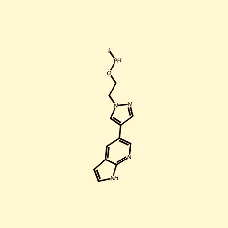 IPOCCn1cc(-c2cnc3[nH]ccc3c2)cn1